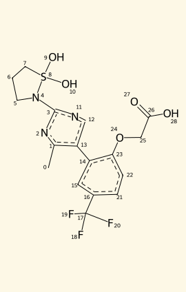 Cc1nc(N2CCCS2(O)O)ncc1-c1cc(C(F)(F)F)ccc1OCC(=O)O